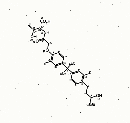 CCC(CC)(c1ccc(CCC(O)C(C)(C)C)c(C)c1)c1ccc(OCC(=O)N[C@@H](C(=O)O)[C@H](C)O)c(C)c1